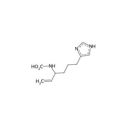 C=CC(CCCc1c[nH]cn1)NC(=O)O